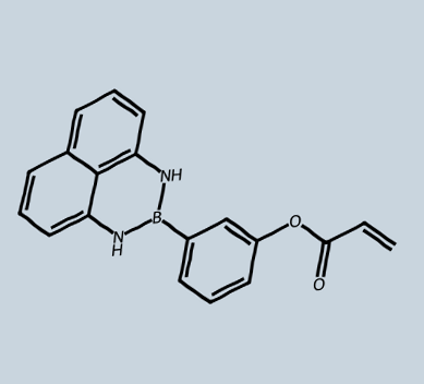 C=CC(=O)Oc1cccc(B2Nc3cccc4cccc(c34)N2)c1